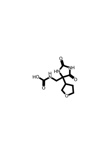 O=C(O)NCC1(C2CCOC2)NC(=O)NC1=O